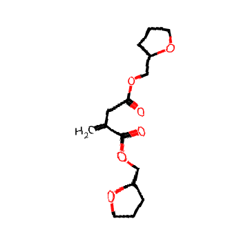 C=C(CC(=O)OCC1CCCO1)C(=O)OCC1CCCO1